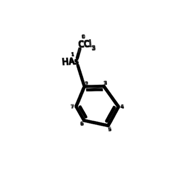 ClC(Cl)(Cl)[AsH]c1ccccc1